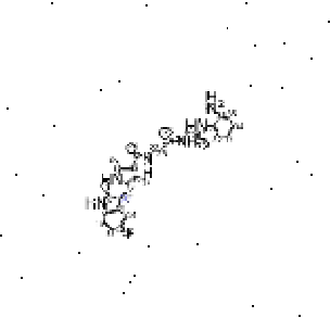 Cc1[nH]c(/C=C2\C(=O)Nc3ccc(F)cc32)c(C)c1C(=O)NCCC(=O)NCC(=O)Nc1ccccc1N